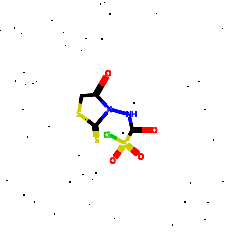 O=C1CSC(=S)N1NC(=O)S(=O)(=O)Cl